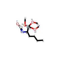 CCCCC(N=C=O)[Si](OC)(OC)OC